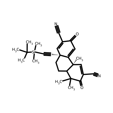 CC1(C)C(=O)C(C#N)=C[C@]2(C)C3=CC(=O)C(C#N)=C[C@]3(C#C[Si](C)(C)C(C)(C)C)CCC12